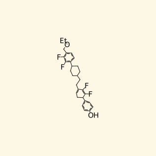 CCOCc1ccc(C2CCC(CCC3=CCC(c4ccc(O)cc4)C(F)=C3F)CC2)c(F)c1F